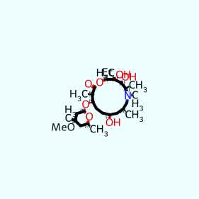 CC[C@H]1OC(=O)[C@H](C)[C@@H](O[C@H]2C[C@@](C)(OC)C[C@H](C)O2)CC[C@H](O)C[C@@H](C)CN(C)[C@H](C)[C@@H](O)[C@]1(C)O